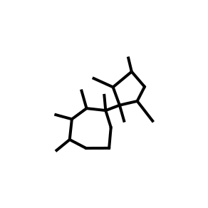 CC1CCCC(C)(C2(C)C(C)CC(C)C2C)C(C)C1C